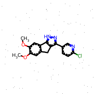 COc1cc2c(cc1OC)-c1[nH]nc(-c3ccc(Cl)nc3)c1C2